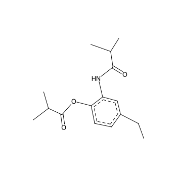 CCc1ccc(OC(=O)C(C)C)c(NC(=O)C(C)C)c1